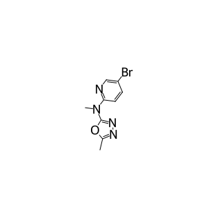 Cc1nnc(N(C)c2ccc(Br)cn2)o1